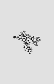 CC(C)(C)c1ccc(C2(c3ccc(C(C)(C)C)cc3)c3ccccc3-c3ccc(N(c4ccc(-c5cccc6c5C(C)(C)c5ccccc5-6)cc4)c4ccc5c(c4)C4(CCCCC4)c4ccccc4-5)cc32)cc1